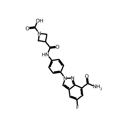 NC(=O)c1cc(F)cc2cn(-c3ccc(NC(=O)C4CN(C(=O)O)C4)cc3)nc12